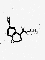 COC(=O)C1CCOc2ccc(C#N)cc21